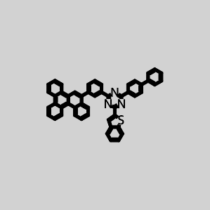 c1ccc(-c2ccc(-c3nc(-c4cccc(-c5cc6c7ccccc7c7ccccc7c6c6ccccc56)c4)nc(-c4cc5ccccc5s4)n3)cc2)cc1